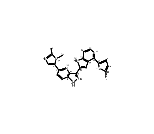 Cc1ncc(-c2ccc3[nH]nc(-c4cc5c(-c6ccc(F)s6)nccc5[nH]4)c3n2)n1C